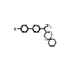 C=C(c1ccc(-c2ccc(Br)cc2)cc1)C1COC2(CCCCC2)OO1